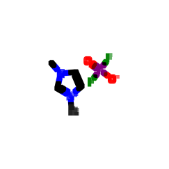 CC[n+]1ccn(C)c1.O=P([O-])(F)F